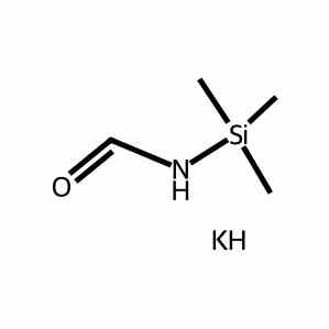 C[Si](C)(C)NC=O.[KH]